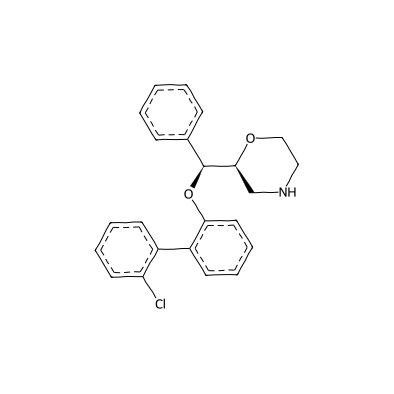 Clc1ccccc1-c1ccccc1O[C@@H](c1ccccc1)[C@@H]1CNCCO1